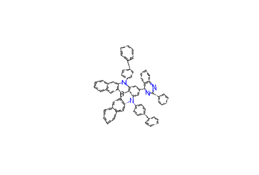 c1ccc(-c2ccc(N3c4cc5ccccc5cc4B4c5cc6ccccc6cc5N(c5ccc(-c6ccccc6)cc5)c5cc(-c6nc(-c7ccccc7)nc7ccccc67)cc3c54)cc2)cc1